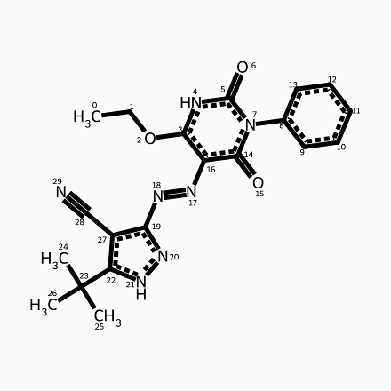 CCOc1[nH]c(=O)n(-c2ccccc2)c(=O)c1/N=N/c1n[nH]c(C(C)(C)C)c1C#N